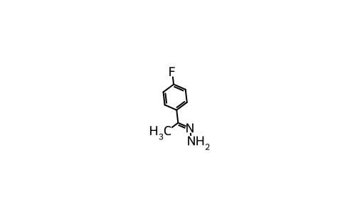 CC(=NN)c1ccc(F)cc1